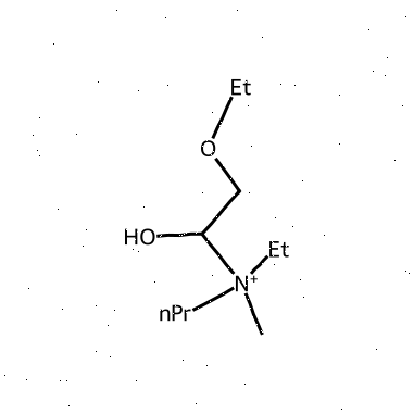 CCC[N+](C)(CC)C(O)COCC